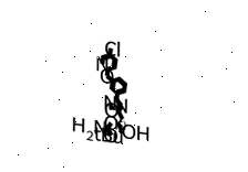 CC(C)(C)C(O)[C@H](Cc1nc(-c2cccc(Oc3ccc(Cl)cn3)c2)no1)OC(N)=O